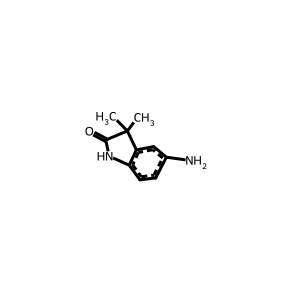 CC1(C)C(=O)Nc2ccc(N)cc21